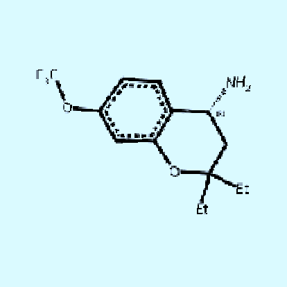 CCC1(CC)C[C@@H](N)c2ccc(OC(F)(F)F)cc2O1